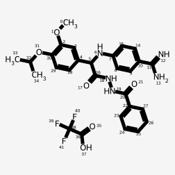 COc1cc(C(Nc2ccc(C(=N)N)cc2)C(=O)NNC(=O)c2ccccc2)ccc1OC(C)C.O=C(O)C(F)(F)F